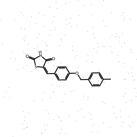 Cc1ccc(COc2ccc(C=C3SC(=O)NC3=O)cc2)cc1